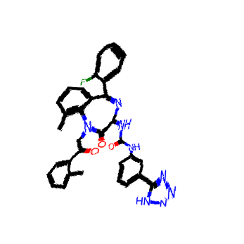 Cc1ccccc1C(=O)CN1C(=O)C(NC(=O)Nc2cccc(-c3nnn[nH]3)c2)N=C(c2ccccc2F)c2cccc(C)c21